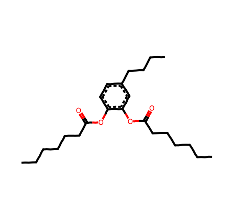 CCCCCCC(=O)Oc1ccc(CCCC)cc1OC(=O)CCCCCC